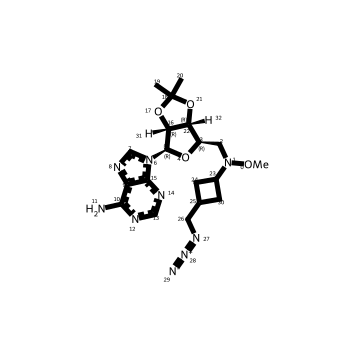 CON(C[C@H]1O[C@@H](n2cnc3c(N)ncnc32)[C@@H]2OC(C)(C)O[C@@H]21)C1CC(CN=[N+]=[N-])C1